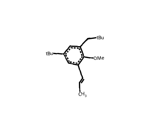 CC=Cc1cc(C(C)(C)C)cc(CC(C)(C)C)c1OC